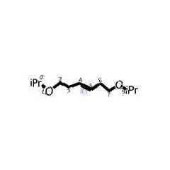 CC(C)OCC/C=C/CCOC(C)C